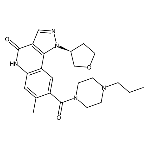 CCCN1CCN(C(=O)c2cc3c(cc2C)[nH]c(=O)c2cnn([C@H]4CCOC4)c23)CC1